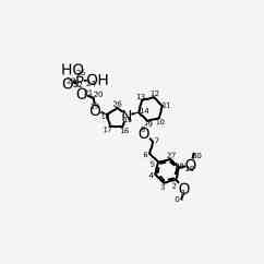 COc1ccc(CCO[C@H]2CCCC[C@@H]2N2CC[C@@H](OCOP(=O)(O)O)C2)cc1OC